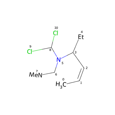 C/C=C\C(CC)N(CNC)C(Cl)Cl